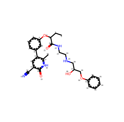 CCC(Oc1cccc(-c2cc(C#N)c(=O)[nH]c2C)c1)C(=O)NCCNCC(O)COc1ccccc1